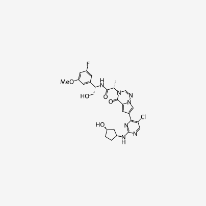 COc1cc(F)cc([C@@H](CO)NC(=O)[C@H](C)n2cnn3cc(-c4nc(N[C@H]5CC[C@@H](O)C5)ncc4Cl)cc3c2=O)c1